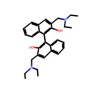 CCN(CC)Cc1cc2ccccc2c(-c2c(O)c(CN(CC)CC)cc3ccccc23)c1O